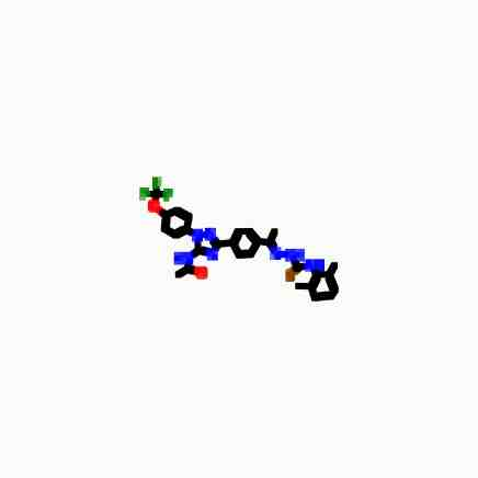 CC(=O)Nc1nc(-c2ccc(/C(C)=N/NC(=S)Nc3c(C)cccc3C)cc2)nn1-c1ccc(OC(F)(F)F)cc1